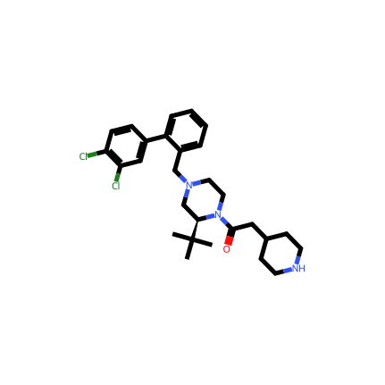 CC(C)(C)[C@H]1CN(Cc2ccccc2-c2ccc(Cl)c(Cl)c2)CCN1C(=O)CC1CCNCC1